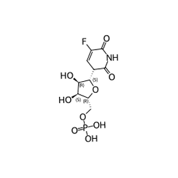 O=C1NC(=O)C([C@@H]2O[C@H](COP(=O)(O)O)[C@@H](O)[C@H]2O)C=C1F